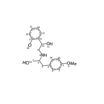 COc1ccc(CC(C)NCC(O)c2ccccc2Cl)cc1.Cl